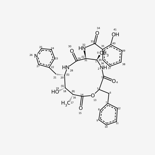 C[C@H]1NC(=O)C(Cc2ccccc2)OC(=O)[C@H](C)[C@H](O)[C@H](Cc2cccnc2)NC(=O)[C@H]1NC(=O)c1ccccc1O